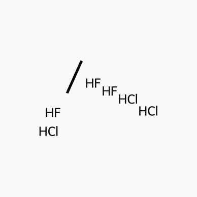 CC.Cl.Cl.Cl.F.F.F